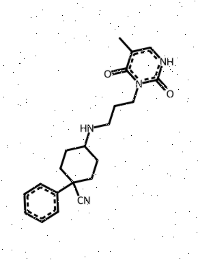 Cc1c[nH]c(=O)n(CCCNC2CCC(C#N)(c3ccccc3)CC2)c1=O